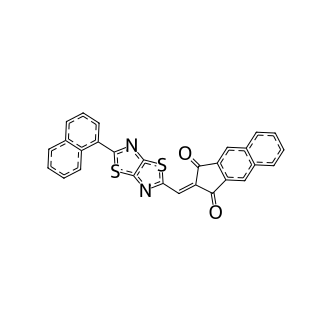 O=C1C(=Cc2nc3sc(-c4cccc5ccccc45)nc3s2)C(=O)c2cc3ccccc3cc21